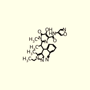 CCn1ncc(C(c2ccccc2C#N)C(C)c2nc(C(=O)Nc3cnoc3)c(O)c(=O)n2C)c1C